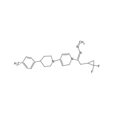 C=N/N=C(/CC1CC1(F)F)N1C=CC(N2CCC(c3ccc(C)cc3)CC2)=CC1